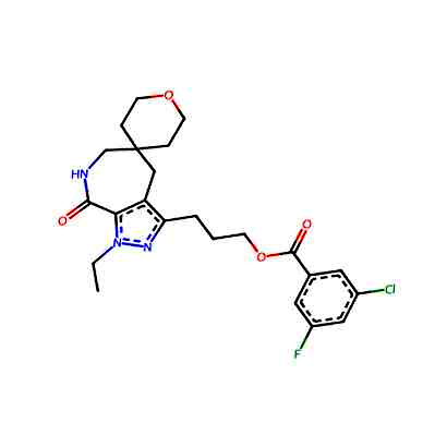 CCn1nc(CCCOC(=O)c2cc(F)cc(Cl)c2)c2c1C(=O)NCC1(CCOCC1)C2